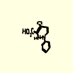 O=C(O)C1=C(Cl)C=CN(c2ccccc2)N1